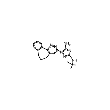 CC(C)(C)Nc1nc(N)n(-c2cc3c(nn2)-c2ccccc2CCC3)n1